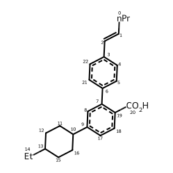 CCCC=Cc1ccc(-c2cc(C3CCC(CC)CC3)ccc2C(=O)O)cc1